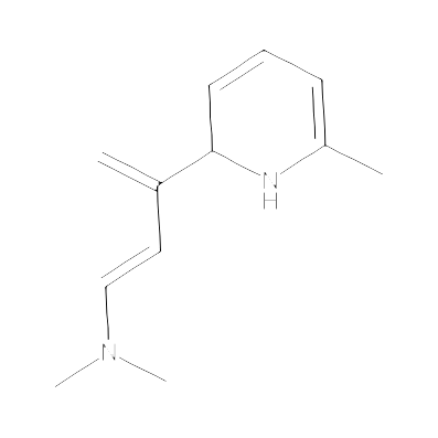 C=C(/C=C/N(C)C)C1C=CC=C(C)N1